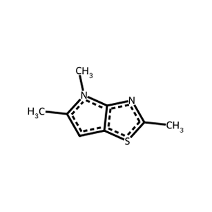 Cc1nc2c(cc(C)n2C)s1